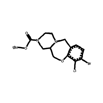 CC(C)(C)OC(=O)N1CCN2Cc3ccc(Br)c(Cl)c3OCC2C1